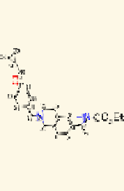 CCOC(=O)NC(C)c1ccc2c(c1)CCN(Cc1ccc(OCC3CC3)cc1)C2